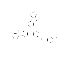 CCCN(/N=C/c1ccc(N(c2ccc3c(c2)C(C)(C)c2ccccc2-3)c2ccc3c(c2)C(C)(C)c2ccccc2-3)cc1)c1ccc(C=O)cc1